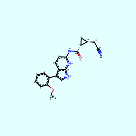 COc1ccccc1-c1c[nH]c2nc(NC(=O)[C@@H]3C[C@H]3CC#N)ccc12